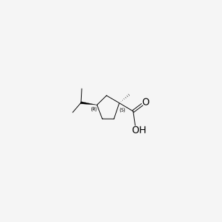 CC(C)[C@@H]1CC[C@](C)(C(=O)O)C1